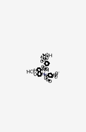 CNC(C)N(C)S(=O)(=O)c1cccc(S(=O)(=O)Nc2cccc3c(O)ccc(/N=N/c4ccc([N+](=O)[O-])cc4S(C)(=O)=O)c23)c1.Cl